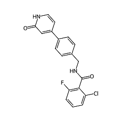 O=C(NCc1ccc(-c2cc[nH]c(=O)c2)cc1)c1c(F)cccc1Cl